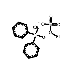 CC(C)(C)[Si]([O])(c1ccccc1)c1ccccc1.CCOS(=O)(=O)C(F)(F)F